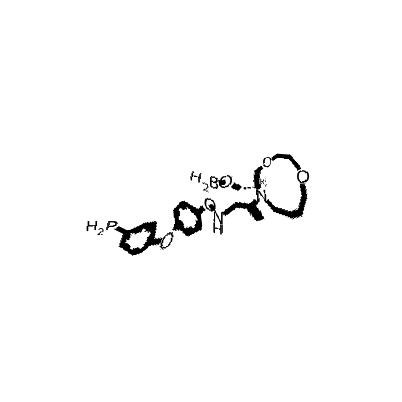 BOC[C@@H]1COCCCOCCCCN1C(=C)CNOc1ccc(Oc2ccc(P)cc2)cc1